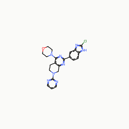 Clc1nc2cc(-c3nc4c(c(N5CCOCC5)n3)CCN(c3ncccn3)C4)ccc2[nH]1